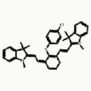 CN1/C(=C\C=C2\CCCC(/C=C/C3=[N+](C)c4ccccc4C3(C)C)=C2Sc2ccc(Cl)cc2)C(C)(C)c2ccccc21